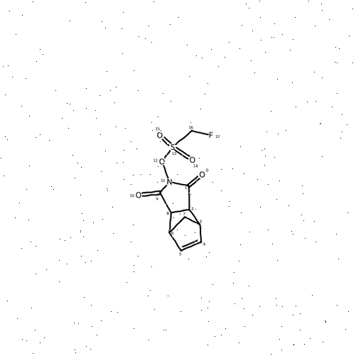 O=C1C2C3C=CC(C3)C2C(=O)N1OS(=O)(=O)CF